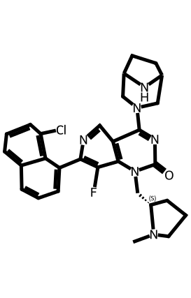 CN1CCC[C@H]1Cn1c(=O)nc(N2CC3CCC(C2)N3)c2cnc(-c3cccc4cccc(Cl)c34)c(F)c21